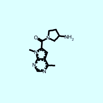 Cc1ncnc2c1cc(C(=O)N1CCC(N)C1)n2C